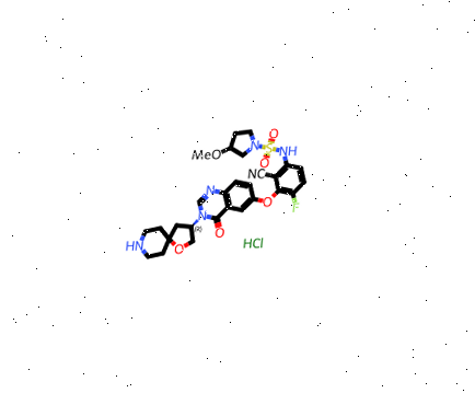 COC1CCN(S(=O)(=O)Nc2ccc(F)c(Oc3ccc4ncn([C@H]5COC6(CCNCC6)C5)c(=O)c4c3)c2C#N)C1.Cl